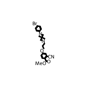 COC(=O)c1ccc(OCCCN2CC3(C2)CN(c2ccc(Br)cc2)C3)cc1C#N